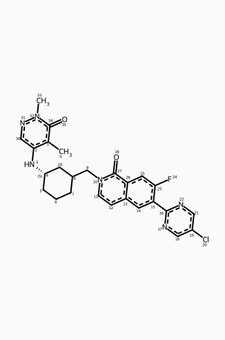 Cc1c(N[C@H]2CCCC(Cn3ccc4cc(-c5ncc(Cl)cn5)c(F)cc4c3=O)C2)cnn(C)c1=O